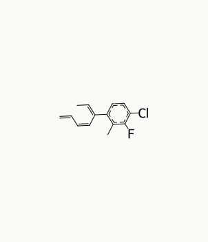 C=C/C=C\C(=C/C)c1ccc(Cl)c(F)c1C